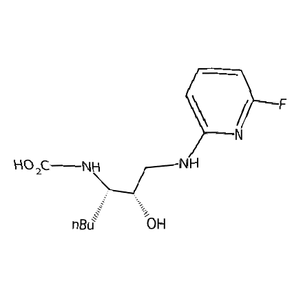 CCCC[C@H](NC(=O)O)[C@@H](O)CNc1cccc(F)n1